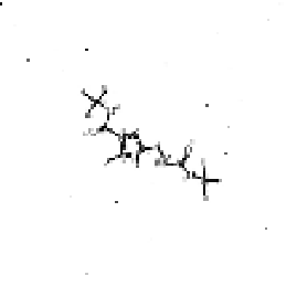 Cc1nc(CNC(=O)OC(C)(C)C)cn1C(=O)OC(C)(C)C